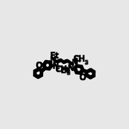 CCN1C(=CC=Cc2n(CC)c3cc4oc5ccccc5c4cc3[n+]2C)N(C)c2cc3c(cc21)oc1ccccc13